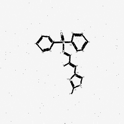 CC(/C=N/P(=O)(c1ccccc1)c1ccccc1)=C\c1csc(C)n1